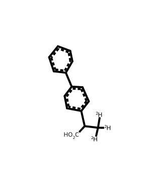 [2H]C([2H])([2H])C(C(=O)O)c1ccc(-c2ccccc2)cc1